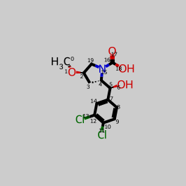 CO[C@@H]1C[C@@H]([C@@H](O)c2ccc(Cl)c(Cl)c2)N(C(=O)O)C1